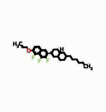 C=CCOc1ccc2cc([C@@H]3CC[C@@H]4CC(CCCCCC)CCC4C3)c(F)c(F)c2c1F